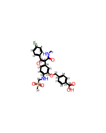 CNC(=O)c1c(-c2ccc(F)cc2)oc2cc(NCS(C)(=O)=O)c(OCc3ccc(C(=O)O)cc3)cc12